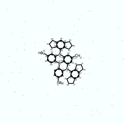 CCCCc1ccc2c(c1)N(c1c3c(cc4c1CCC4)CCC3)c1cc(C)cc3c1B2c1ccc(CCCC)cc1N3c1c2c(cc3c1CCC3)CCC2